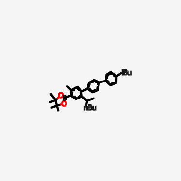 CCCCC(C)c1cc(B2OC(C)(C)C(C)(C)O2)c(C)cc1-c1ccc(-c2ccc(C(C)CC)cc2)cc1